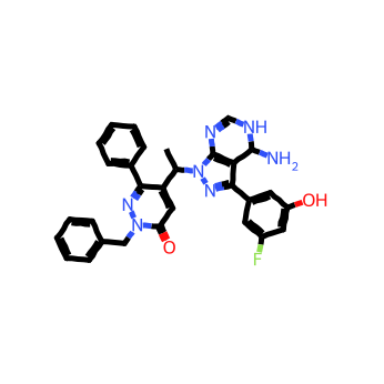 CC(c1cc(=O)n(Cc2ccccc2)nc1-c1ccccc1)n1nc(-c2cc(O)cc(F)c2)c2c1N=CNC2N